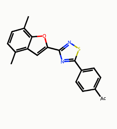 CC(=O)c1ccc(-c2nc(-c3cc4c(C)ccc(C)c4o3)ns2)cc1